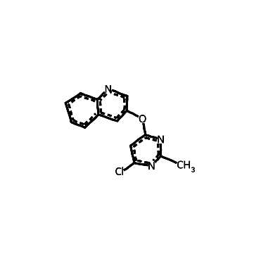 Cc1nc(Cl)cc(Oc2cnc3ccccc3c2)n1